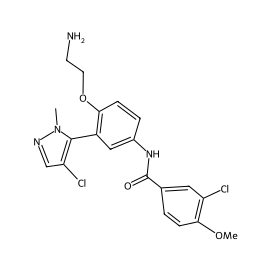 COc1ccc(C(=O)Nc2ccc(OCCN)c(-c3c(Cl)cnn3C)c2)cc1Cl